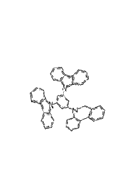 c1ccc2c(c1)CN(c1cc(-n3c4ccccc4c4ccccc43)cc(-n3c4ccccc4c4ccccc43)c1)c1ccccc1-2